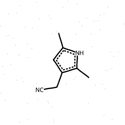 Cc1cc(CC#N)c(C)[nH]1